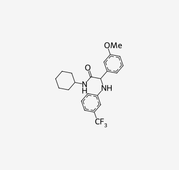 COc1cccc(C(Nc2cccc(C(F)(F)F)c2)C(=O)NC2CCCCC2)c1